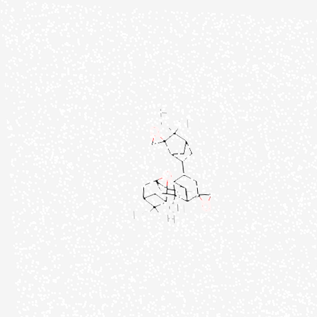 CC1(C)C2CC1C1(C)OC1(CC1(C)C3CC1C1(CO1)CC3C1CC3CC1C1(CO1)C3(C)C)C2